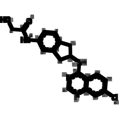 O=C(CO)Nc1ccc2c(c1)CC(Nc1ncnc3cc(Cl)ccc13)C2